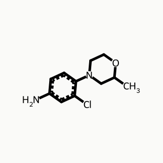 CC1CN(c2ccc(N)cc2Cl)CCO1